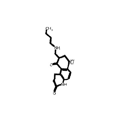 CCCCNCC1CCc2ccc3c(c2C1=O)CCC(=O)N3.Cl